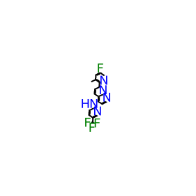 Cc1cc(F)cnc1-c1ccc2c(Nc3ccc(C(F)(F)F)cn3)ccnc2n1